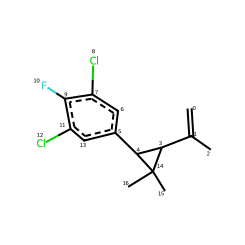 C=C(C)C1C(c2cc(Cl)c(F)c(Cl)c2)C1(C)C